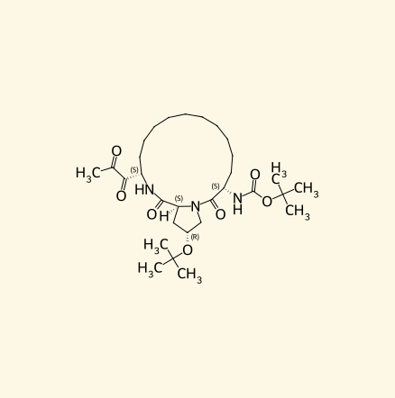 CC(=O)C(=O)[C@@H]1CCCCCCCCCC[C@H](NC(=O)OC(C)(C)C)C(=O)N2C[C@H](OC(C)(C)C)C[C@H]2C(=O)N1